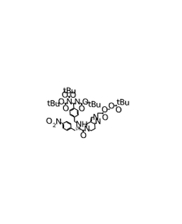 CC(C)(C)OC(=O)N=C(c1ccc(CN[C@@H](Cc2ccc([N+](=O)[O-])cc2)C(=O)N2CCc3nn(CC(=O)OCOC(=O)C(C)(C)C)cc3C2)cc1)N(C(=O)OC(C)(C)C)C(=O)OC(C)(C)C